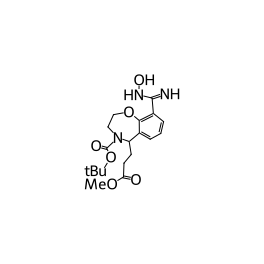 COC(=O)CCC1c2cccc(C(=N)NO)c2OCCN1C(=O)OC(C)(C)C